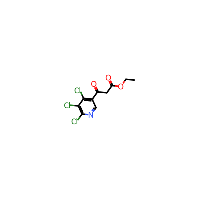 CCOC(=O)CC(=O)c1cnc(Cl)c(Cl)c1Cl